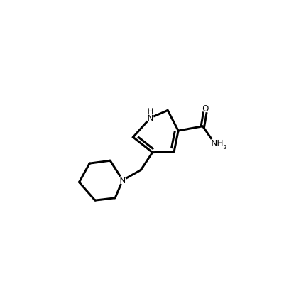 NC(=O)C1=CC(CN2CCCCC2)=CNC1